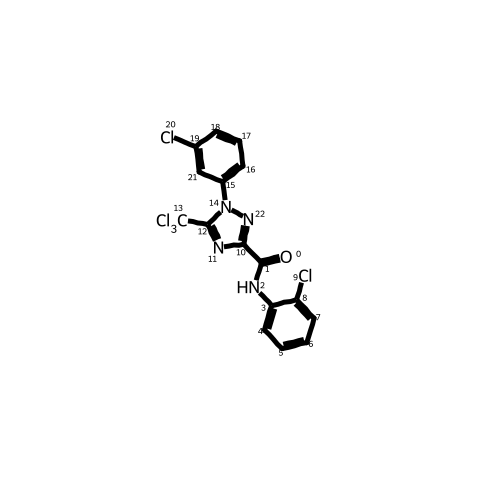 O=C(Nc1ccccc1Cl)c1nc(C(Cl)(Cl)Cl)n(-c2cccc(Cl)c2)n1